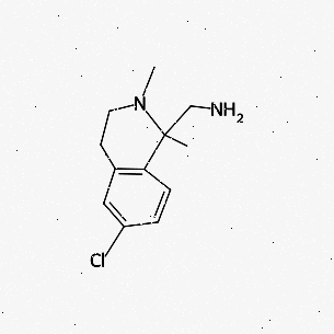 CN1CCc2cc(Cl)ccc2C1(C)CN